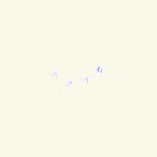 c1ccc(-c2ccc3c(c2)c2cc(-c4ccc5c(c4)c4ccccc4n5-c4ccccc4)ccc2n3-c2ccc3c4ccc(-n5c6ccccc6c6c(-c7cccc(-c8nc(-c9ccccc9)nc(-c9ccccc9)n8)c7)cccc65)cc4c4ccccc4c3c2)cc1